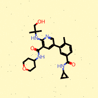 Cc1ccc(C(=O)NC2CC2)cc1-c1cnc(NC(C)(C)CO)c(C(=O)NC2CCOCC2)c1